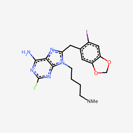 CNCCCCn1c(Cc2cc3c(cc2I)OCO3)nc2c(N)nc(F)nc21